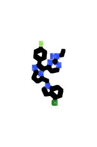 CCNc1nccc(-c2c(-c3ccc(F)cc3)nc3n2C(Cn2ccc4c(Cl)cccc42)CC3)n1